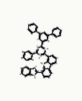 c1ccc(-c2cc(-c3ccccc3)cc(-c3nc(-c4ccccc4)nc(-c4cccc5c4sc4c(-c6nc7ccccc7s6)cccc45)n3)c2)cc1